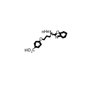 CCCCCCN(CCCOc1ccc(C(=O)O)cc1)c1nc2ccccc2o1